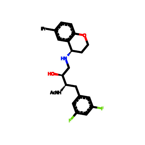 CC(=O)N[C@@H](Cc1cc(F)cc(F)c1)[C@@H](O)CN[C@H]1CCOc2ccc(C(C)C)cc21